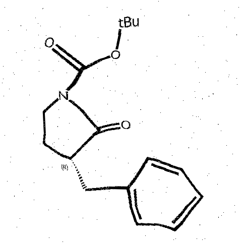 CC(C)(C)OC(=O)N1CC[C@@H](Cc2ccccc2)C1=O